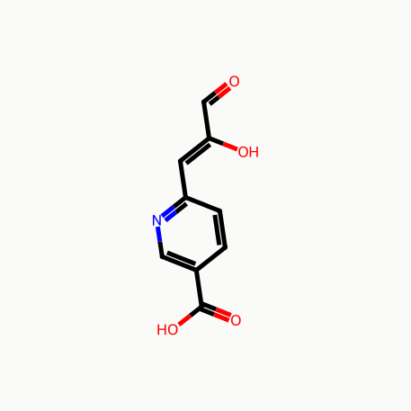 O=CC(O)=Cc1ccc(C(=O)O)cn1